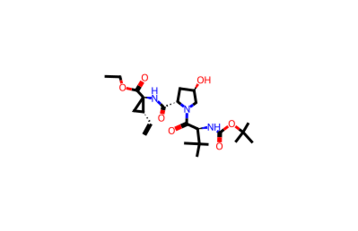 C=C[C@@H]1C[C@]1(NC(=O)[C@@H]1C[C@@H](O)CN1C(=O)[C@@H](NC(=O)OC(C)(C)C)C(C)(C)C)C(=O)OCC